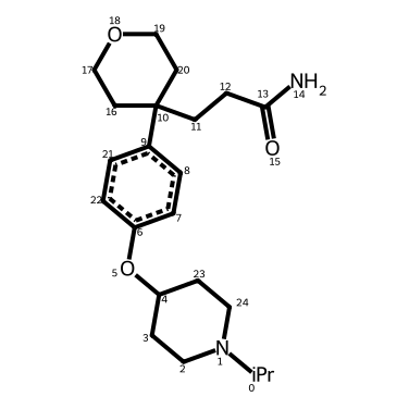 CC(C)N1CCC(Oc2ccc(C3(CCC(N)=O)CCOCC3)cc2)CC1